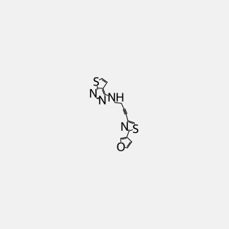 C(#Cc1csc(-c2ccoc2)n1)CCNc1ncnc2sccc12